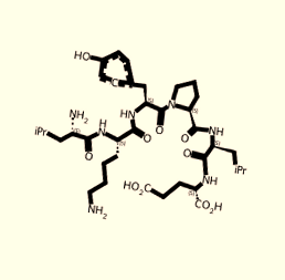 CC(C)C[C@H](NC(=O)[C@@H]1CCCN1C(=O)[C@H](Cc1ccc(O)cc1)NC(=O)[C@H](CCCCN)NC(=O)[C@@H](N)CC(C)C)C(=O)N[C@@H](CCC(=O)O)C(=O)O